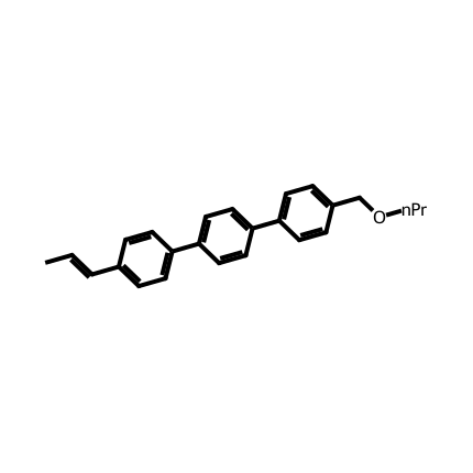 CC=Cc1ccc(-c2ccc(-c3ccc(COCCC)cc3)cc2)cc1